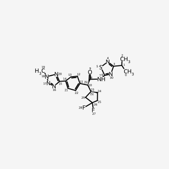 CC(C)c1nsc(NC(=O)[C@H](c2ccc(-c3nnn(C)n3)cc2)[C@H]2CCC(F)(F)C2)n1